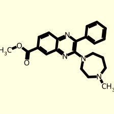 COC(=O)c1ccc2nc(-c3ccccc3)c(N3CCCN(C)CC3)nc2c1